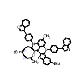 C=C1/C=C\C(C(C)(C)C)=C/CC2=C(O1)B1c3oc4ccc(C(C)(C)C)cc4c3N(c3ccc(-c4coc5ccccc45)cc3)c3cc(C)cc(c31)N2c1ccc(-c2coc3ccccc23)cc1